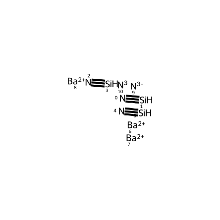 N#[SiH].N#[SiH].N#[SiH].[Ba+2].[Ba+2].[Ba+2].[N-3].[N-3]